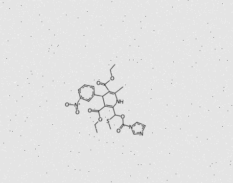 CCOC(=O)C1=C(C)NC(C(OC(=O)n2ccnc2)SC)=C(C(=O)OCC)C1c1cccc([N+](=O)[O-])c1